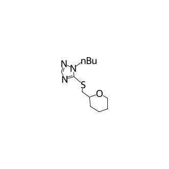 CCCCn1ncnc1SCC1CCCCO1